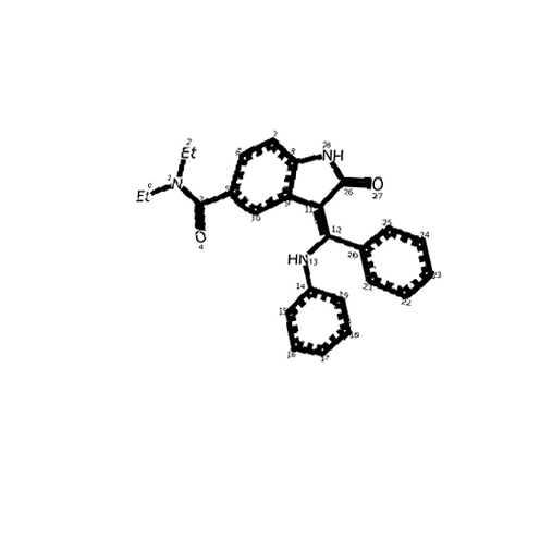 CCN(CC)C(=O)c1ccc2c(c1)C(=C(Nc1ccccc1)c1ccccc1)C(=O)N2